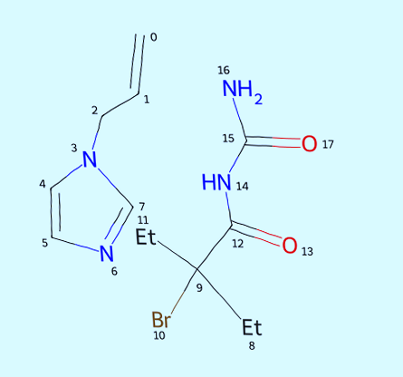 C=CCn1ccnc1.CCC(Br)(CC)C(=O)NC(N)=O